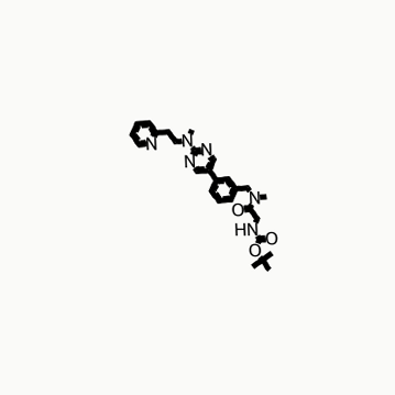 CN(Cc1cccc(-c2cnc(N(C)CCc3ccccn3)nc2)c1)C(=O)CNC(=O)OC(C)(C)C